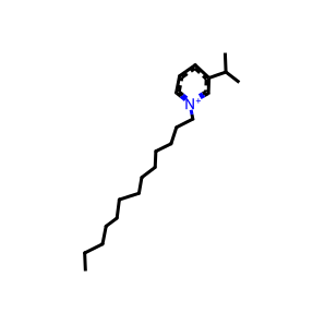 CCCCCCCCCCCCC[n+]1cccc(C(C)C)c1